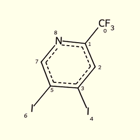 FC(F)(F)c1cc(I)c(I)cn1